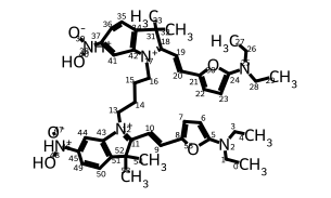 CCN(CC)c1ccc(/C=C/C2=[N+](CCCC[N+]3=C(/C=C/c4ccc(N(CC)CC)o4)C(C)(C)c4ccc([NH+]([O-])O)cc43)c3cc([NH+]([O-])O)ccc3C2(C)C)o1